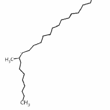 CCCCCCCCCCCCCC[CH]C(C)CCCCCCCC